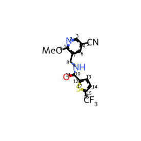 COc1ncc(C#N)cc1CNC(=O)c1ccc(C(F)(F)F)s1